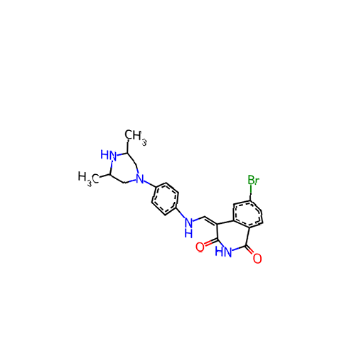 CC1CN(c2ccc(NC=C3C(=O)NC(=O)c4ccc(Br)cc43)cc2)CC(C)N1